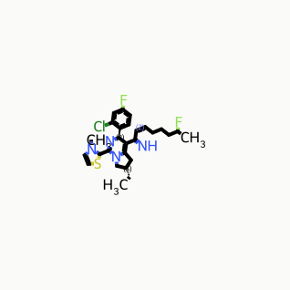 CC[C@H]1CC2=C(C(=N)/C=C\CCCC(C)F)[C@H](c3ccc(F)cc3Cl)N=C(C3SC=CN3C)N2C1